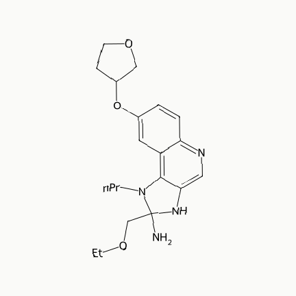 CCCN1c2c(cnc3ccc(OC4CCOC4)cc23)NC1(N)COCC